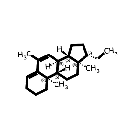 CC[C@H]1CC[C@H]2[C@@H]3C=C(C)C4=CCCC[C@]4(C)[C@H]3CC[C@]12C